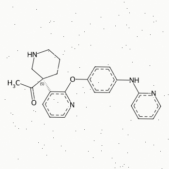 CC(=O)[C@]1(c2cccnc2Oc2ccc(Nc3ccccn3)cc2)CCCNC1